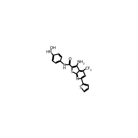 Nc1c(C(=O)Nc2ccc(NO)cc2)sc2nc(-c3cccs3)cc(C(F)(F)F)c12